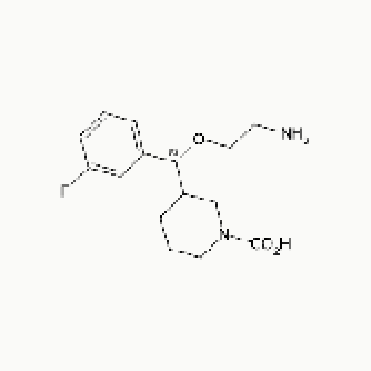 NCCO[C@@H](c1cccc(F)c1)C1CCCN(C(=O)O)C1